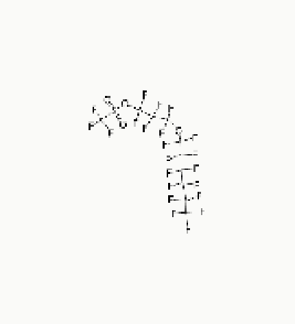 O=S(=O)(OC(F)(F)C(F)(F)C(F)(F)OC(F)(F)C(F)(F)C(F)(F)C(F)(F)C(F)(F)C(F)(F)F)C(F)(F)F